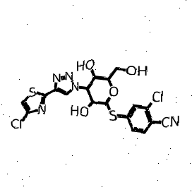 N#Cc1ccc(SC2OC(CO)C(O)C(n3cc(-c4nc(Cl)cs4)nn3)C2O)cc1Cl